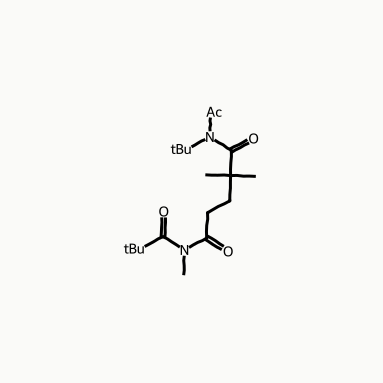 CC(=O)N(C(=O)C(C)(C)CCC(=O)N(C)C(=O)C(C)(C)C)C(C)(C)C